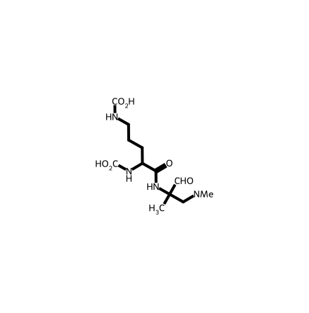 CNCC(C)(C=O)NC(=O)C(CCCNC(=O)O)NC(=O)O